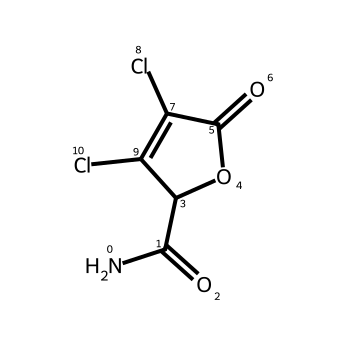 NC(=O)C1OC(=O)C(Cl)=C1Cl